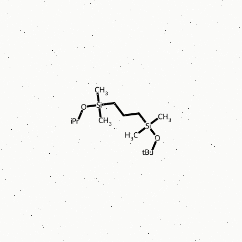 CC(C)O[Si](C)(C)CCC[Si](C)(C)OC(C)(C)C